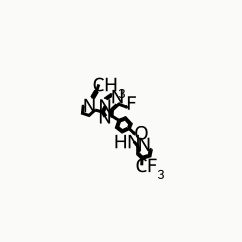 CC#CN1CCCC1c1nc(-c2ccc(C(=O)Nc3cc(C(F)(F)F)ccn3)cc2)c2c(CF)nccn12